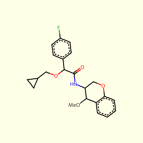 COC1c2ccccc2OCC1NC(=O)C(OCC1CC1)c1ccc(F)cc1